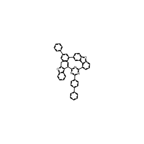 C1=C(c2nc(-c3ccc(-c4ccccc4)cc3)nc(-c3cccc4oc5ccc(-c6cccc(-c7ccccc7)c6)cc5c34)n2)c2c(oc3ccccc23)CC1